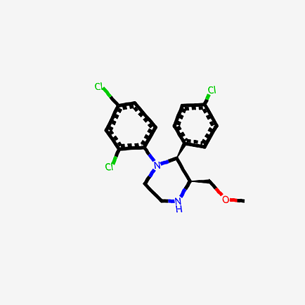 COC[C@H]1NCCN(c2ccc(Cl)cc2Cl)[C@H]1c1ccc(Cl)cc1